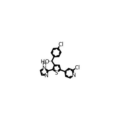 O[C@H](c1ccc(Cl)cc1)c1cc(-c2ccnc(Cl)c2)sc1-c1ncc[nH]1